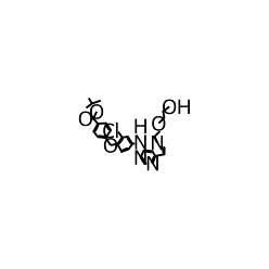 CC(C)(C)OC(=O)c1ccc(Oc2ccc(Nc3ncnc4ccn(CCOCCO)c34)cc2Cl)cc1